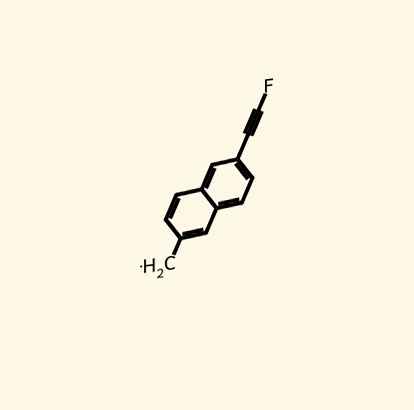 [CH2]c1ccc2cc(C#CF)ccc2c1